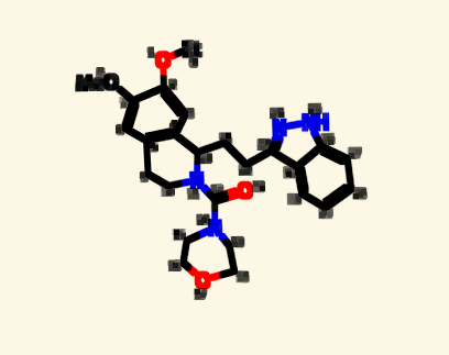 CCOc1cc2c(cc1OC)CCN(C(=O)N1CCOCC1)C2CCc1n[nH]c2ccccc12